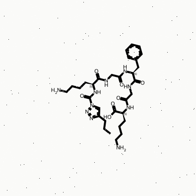 CCCc1cn(C(=O)N[C@@H](CCCCN)C(=O)NCC(=O)N[C@@H](Cc2ccccc2)C(=O)NCC(=O)N[C@@H](CCCCN)C(=O)O)nn1